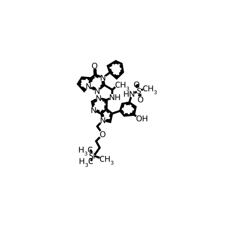 CC(Nc1ncnc2c1c(-c1cc(O)cc(NS(C)(=O)=O)c1)cn2COCC[Si](C)(C)C)c1nn2cccc2c(=O)n1-c1ccccc1